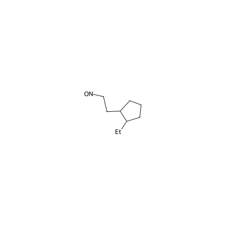 CCC1CCCC1CCN=O